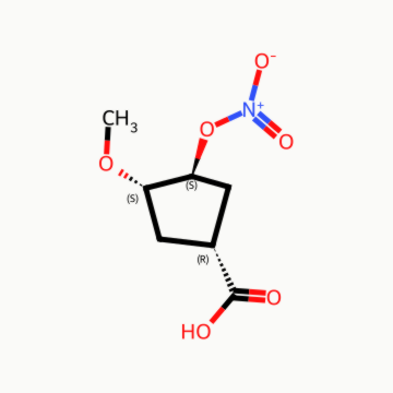 CO[C@H]1C[C@@H](C(=O)O)C[C@@H]1O[N+](=O)[O-]